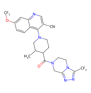 CC1CN(c2c(C#N)cnc3cc(OC(F)(F)F)ccc23)CCC1C(=O)N1CCn2c(nnc2C(F)(F)F)C1